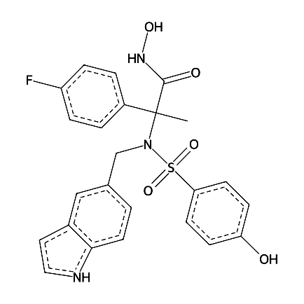 CC(C(=O)NO)(c1ccc(F)cc1)N(Cc1ccc2[nH]ccc2c1)S(=O)(=O)c1ccc(O)cc1